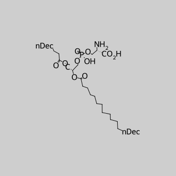 CCCCCCCCCCCCCCCCCCCCCC(=O)O[C@H](COC(=O)CCCCCCCCCCCC)COP(=O)(O)OC[C@H](N)C(=O)O